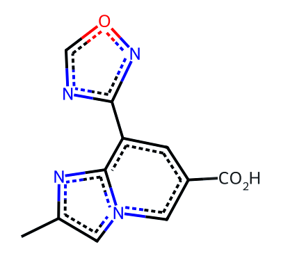 Cc1cn2cc(C(=O)O)cc(-c3ncon3)c2n1